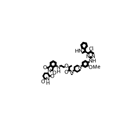 COc1cc(N2CCC(N(C)C(=O)C(C)OCCNc3cccc4c3C(=O)N(C3CCC(=O)NC3=O)C4=O)CC2)ccc1Nc1ncc(Cl)c(-c2c[nH]c3ccccc23)n1